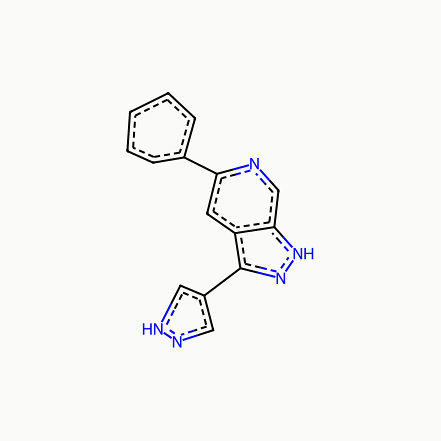 c1ccc(-c2cc3c(-c4cn[nH]c4)n[nH]c3cn2)cc1